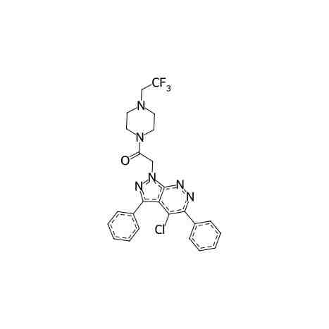 O=C(Cn1nc(-c2ccccc2)c2c(Cl)c(-c3ccccc3)nnc21)N1CCN(CC(F)(F)F)CC1